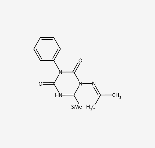 CSC1NC(=O)N(c2ccccc2)C(=O)N1N=C(C)C